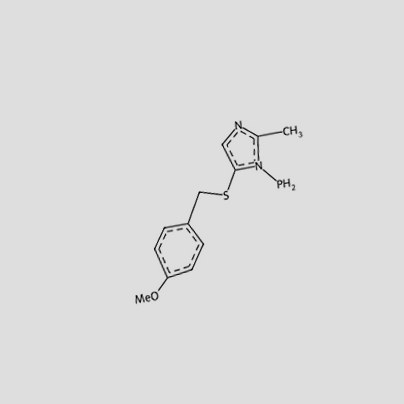 COc1ccc(CSc2cnc(C)n2P)cc1